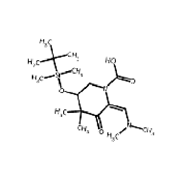 CN(C)/C=C1\C(=O)C(C)(C)C(O[Si](C)(C)C(C)(C)C)CN1C(=O)O